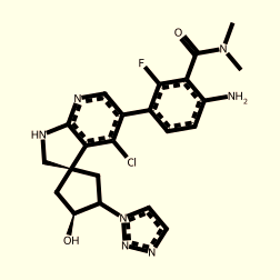 CN(C)C(=O)c1c(N)ccc(-c2cnc3c(c2Cl)[C@]2(CN3)CC(n3ccnn3)[C@@H](O)C2)c1F